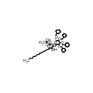 CCCCCCCCCCCCC=C[C@@H](O)[C@H](C[C@H]1O[C@H](COCc2ccccc2)[C@H](OCc2ccccc2)[C@H](OCc2ccccc2)[C@H]1OCc1ccccc1)NC(=O)OC(C)(C)C